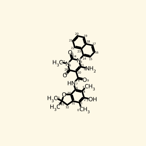 Cc1c(O)c(C)c(NC(=O)c2c(N)n(-c3cccc4ccccc34)c(=O)n(C)c2=O)c2c1CC(C)(C)O2